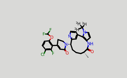 [2H]C([2H])([2H])n1ccc2c1-c1ccnc(c1)[C@@H](N1CCC(c3c(OC(F)F)ccc(Cl)c3F)=CC1=O)CCC[C@@H](C)C(=O)N2